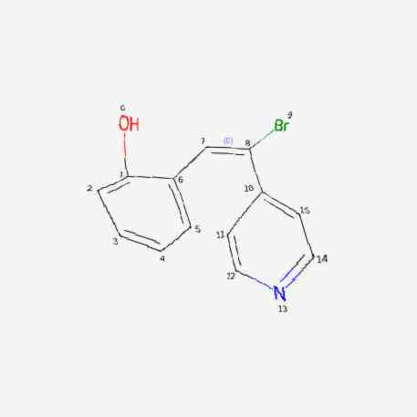 Oc1ccccc1/C=C(/Br)c1ccncc1